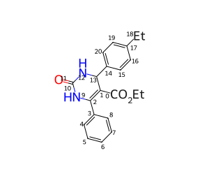 CCOC(=O)C1=C(c2ccccc2)NC(=O)NC1c1ccc(CC)cc1